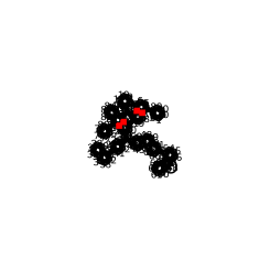 c1ccc(-c2ccc(-c3ccccc3N(c3ccccc3-c3cccc(N(c4ccc(-c5cccc6ccccc56)cc4)c4ccc5c(ccc6cc(-c7cccc8oc9ccccc9c78)ccc65)c4)c3)c3ccc(-c4ccccc4)c4ccccc34)cc2)cc1